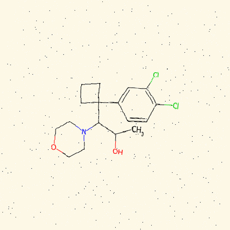 CC(O)C(N1CCOCC1)C1(c2ccc(Cl)c(Cl)c2)CCC1